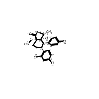 C[C@H]1NC(=O)[C@]2(CO)CC[C@@H](c3ccc(Cl)cc3Cl)[C@H](c3ccc(Cl)cc3)[C@H]12